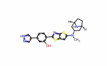 CN(c1cc2sc(-c3ccc(-c4cn[nH]c4)cc3O)nc2s1)[C@@H]1C[C@H]2CC[C@@H](C1)N2